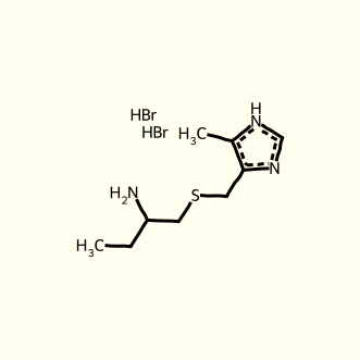 Br.Br.CCC(N)CSCc1nc[nH]c1C